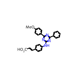 COc1ccc(-c2nc(Nc3ccc(C=CC(=O)O)cc3)nc(-c3ccccc3)n2)cc1